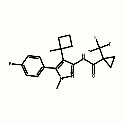 Cn1nc(NC(=O)C2(C(F)(F)F)CC2)c(C2(C)CCC2)c1-c1ccc(F)cc1